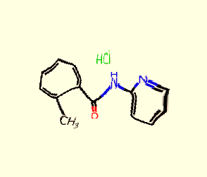 Cc1ccccc1C(=O)Nc1ccccn1.Cl